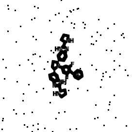 Fc1cc(N2[C@@H](c3ccc4nc(C5CCCN5)[nH]c4c3)CC[C@@H]2c2ccc3nc(C4CCCN4)[nH]c3c2)cc(F)c1N1CC2CCC1CC2